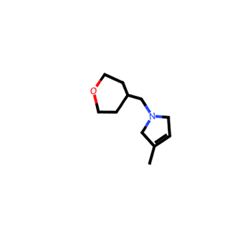 CC1=CCN(CC2CCOCC2)C1